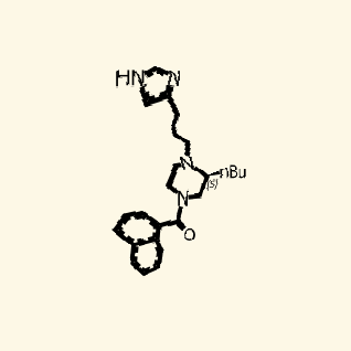 CCCC[C@H]1CN(C(=O)c2cccc3ccccc23)CCN1CCCc1c[nH]cn1